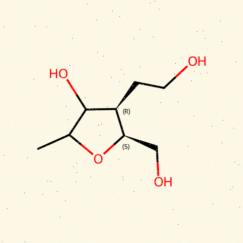 CC1O[C@H](CO)[C@H](CCO)C1O